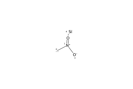 [C][N+](=O)[O-].[Si]